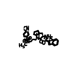 CN(CCCNC(=O)[C@H](CC1CCCC1)NC(=O)c1cc2ccccc2s1)S(=O)(=O)c1ccc(C#N)cc1